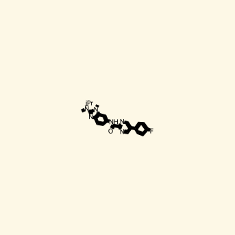 CC(C)N(C)c1nc2ccc(NC(=O)c3ncc(-c4ccc(F)cc4)cn3)cc2n1C